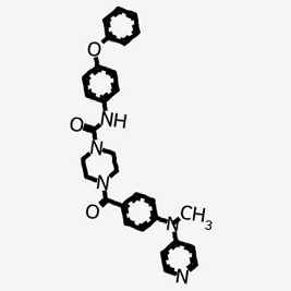 CN(c1ccncc1)c1ccc(C(=O)N2CCN(C(=O)Nc3ccc(Oc4ccccc4)cc3)CC2)cc1